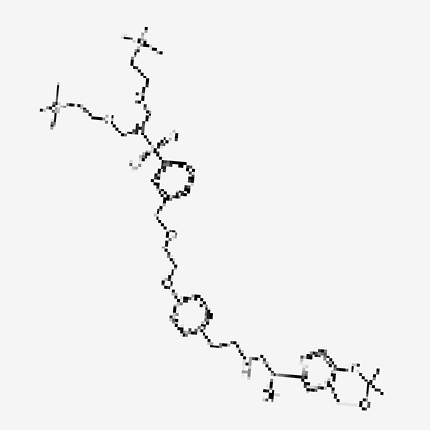 CC1(C)OCc2cc([C@@H](O)CNCCc3ccc(OCCOCc4cccc(S(=O)(=O)N(COCC[Si](C)(C)C)COCC[Si](C)(C)C)c4)cc3)ccc2O1